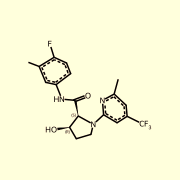 Cc1cc(C(F)(F)F)cc(N2CC[C@@H](O)[C@H]2C(=O)Nc2ccc(F)c(C)c2)n1